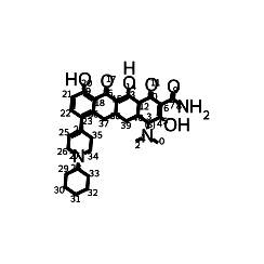 CN(C)[C@@H]1C(O)=C(C(N)=O)C(=O)C2C(O)=C3C(=O)c4c(O)ccc(C5=CCN(C6CCCCC6)CC5)c4CC3CC21